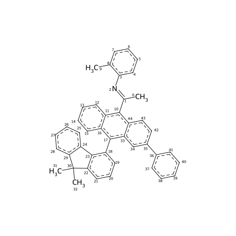 C/C(=N\c1ccccc1C)c1c2ccccc2c(-c2cccc3c2-c2ccccc2C3(C)C)c2cc(-c3ccccc3)ccc12